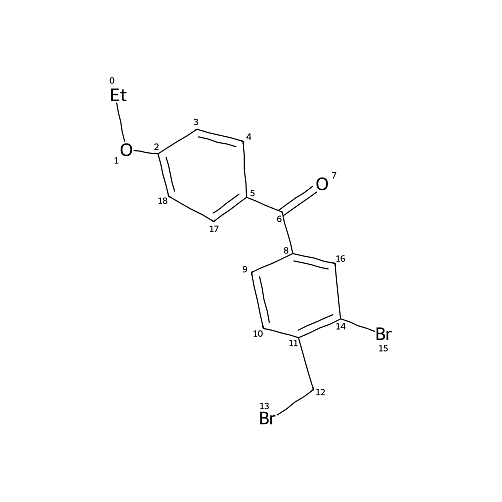 CCOc1ccc(C(=O)c2ccc(CBr)c(Br)c2)cc1